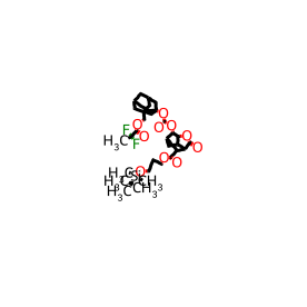 CC(F)(F)C(=O)OCC12CC3CC(C1)CC(OC(=O)OC1C4CC5C1OC(=O)C5C4C(=O)OCCCO[Si](C)(C)C(C)(C)C)(C3)C2